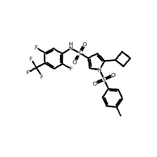 Cc1ccc(S(=O)(=O)n2cc(S(=O)(=O)Nc3cc(F)c(C(F)(F)F)cc3F)cc2C2CCC2)cc1